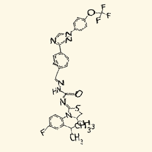 CC(C)c1cc(F)ccc1N1/C(=N/C(=O)N/N=C/c2ccc(-c3ncn(-c4ccc(OC(F)(F)F)cc4)n3)cc2)SCC1C